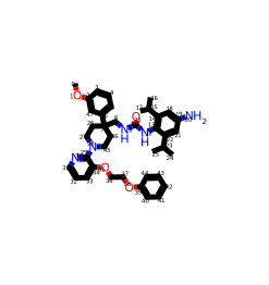 COc1cccc(C2(CNC(=O)Nc3c(C(C)C)cc(N)cc3C(C)C)CCN(c3ncccc3OCCOc3ccccc3)CC2)c1